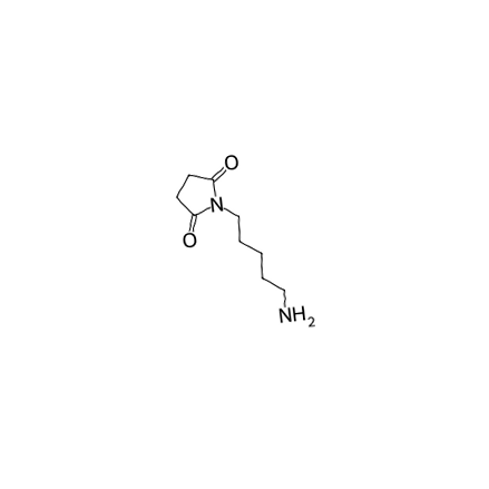 NCCCCCN1C(=O)CCC1=O